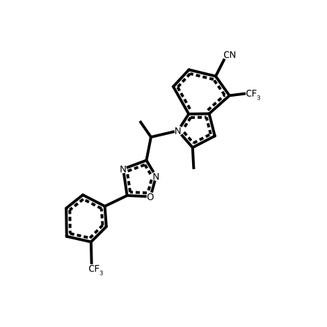 Cc1cc2c(C(F)(F)F)c(C#N)ccc2n1C(C)c1noc(-c2cccc(C(F)(F)F)c2)n1